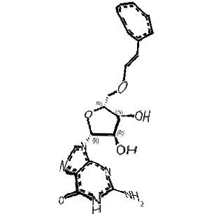 Nc1nc2c(ncn2[C@@H]2O[C@H](COC=Cc3ccccc3)[C@@H](O)[C@H]2O)c(=O)[nH]1